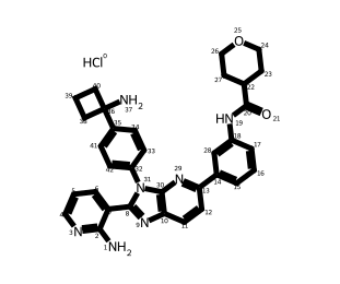 Cl.Nc1ncccc1-c1nc2ccc(-c3cccc(NC(=O)C4CCOCC4)c3)nc2n1-c1ccc(C2(N)CCC2)cc1